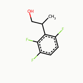 CC(CO)c1c(F)ccc(F)c1F